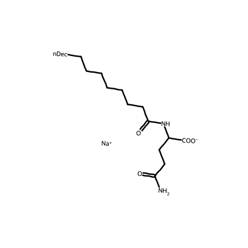 CCCCCCCCCCCCCCCCCC(=O)NC(CCC(N)=O)C(=O)[O-].[Na+]